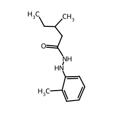 CCC(C)CC(=O)NNc1ccccc1C